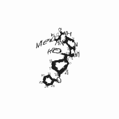 COCC1(C)Nc2c(cnc3[nH]cc(C(O)c4ccc(Oc5ccccc5)cc4)c23)NC1=O